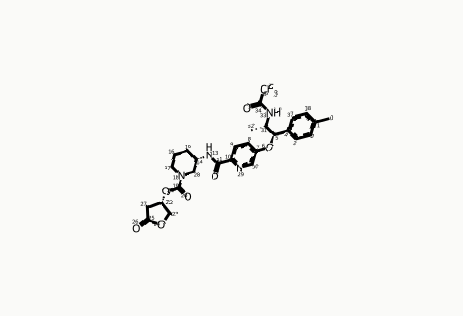 Cc1ccc([C@@H](Oc2ccc(C(=O)N[C@H]3CCCN(C(=O)O[C@@H]4COC(=O)C4)C3)nc2)[C@H](C)NC(=O)C(F)(F)F)cc1